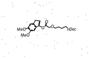 CCCCCCCCCCCCCCOCC(=O)OC1=CCc2cc(OC)c(OC)cc21